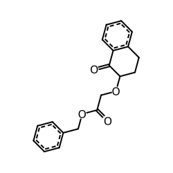 O=C(COC1CCc2ccccc2C1=O)OCc1ccccc1